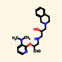 CN(C)c1cccnc1OC(C=O)CNCC(O)CN1CCc2ccccc2C1